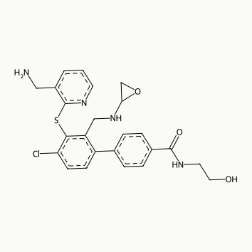 NCc1cccnc1Sc1c(Cl)ccc(-c2ccc(C(=O)NCCO)cc2)c1CNC1CO1